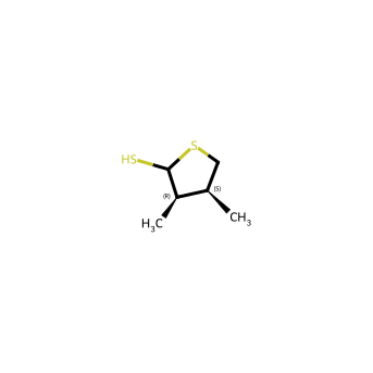 C[C@@H]1CSC(S)[C@@H]1C